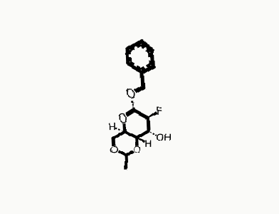 CC1OC[C@H]2O[C@H](OCc3ccccc3)[C@@H](F)[C@H](O)[C@@H]2O1